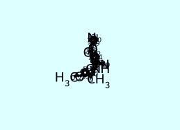 CCOc1cccc(C(C)CC(=O)Nc2sc3c(c2C#N)CCN(C(=O)OCc2cccnc2)C3)c1